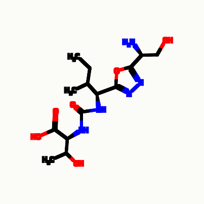 CCC(C)[C@H](NC(=O)N[C@H](C(=O)O)C(C)O)c1nnc([C@@H](N)CO)o1